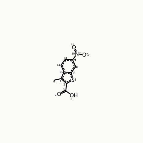 Cc1c(C(=O)O)sc2cc([N+](=O)[O-])ccc12